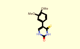 COc1ccc(-c2c[nH]c(=O)[nH]c2=S)cc1OC